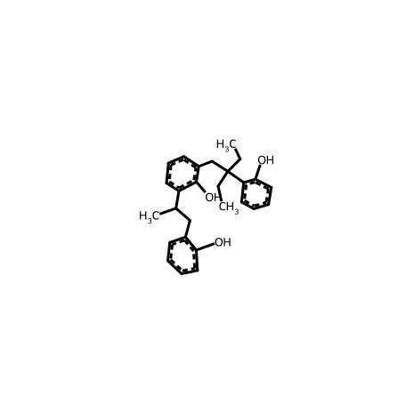 CCC(CC)(Cc1cccc(C(C)Cc2ccccc2O)c1O)c1ccccc1O